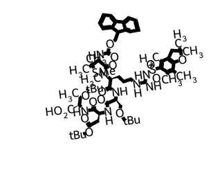 CSC(C)(C)[C@H](NC(=O)OCC1c2ccccc2-c2ccccc21)C(=O)N(C)[C@@H](CCCNC(=N)NS(=O)(=O)c1c(C)c(C)c2c(c1C)CC(C)(C)O2)C(=O)N[C@@H](COC(C)(C)C)C(=O)N[C@@H](CC(=O)OC(C)(C)C)C(=O)N[C@H](C(=O)O)C(C)OC(C)(C)C